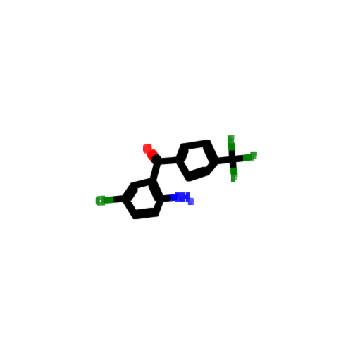 Nc1ccc(Cl)cc1C(=O)c1ccc(C(F)(F)F)cc1